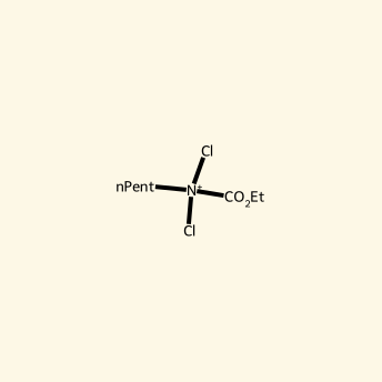 CCCCC[N+](Cl)(Cl)C(=O)OCC